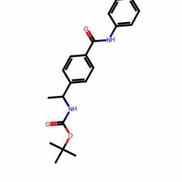 CC(NC(=O)OC(C)(C)C)c1ccc(C(=O)Nc2ccccc2)cc1